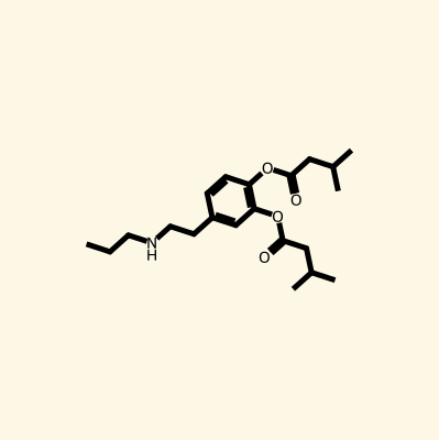 CCCNCCc1ccc(OC(=O)CC(C)C)c(OC(=O)CC(C)C)c1